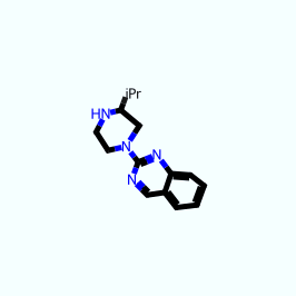 CC(C)C1CN(c2ncc3ccccc3n2)CCN1